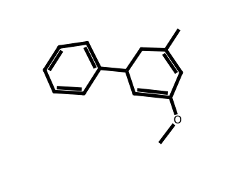 COC1=CC(c2ccccc2)CC(C)=C1